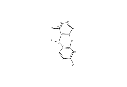 Cc1ccc(C(C)c2ccccc2C)c(C)c1